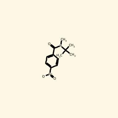 CN(C(=O)c1ccc([N+](=O)[O-])cc1)C(C)(C)C